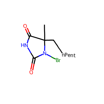 CCCCCCC1(C)C(=O)NC(=O)N1Br